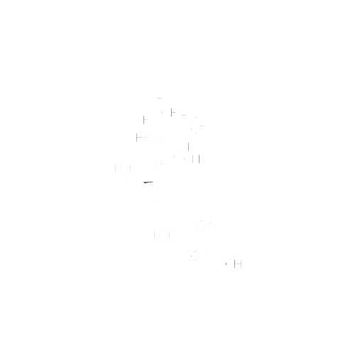 C=CC(=O)OC(C)C1CC[C@@](CC)(OC(C)C(O)(C(F)(F)F)C(F)(F)F)C1